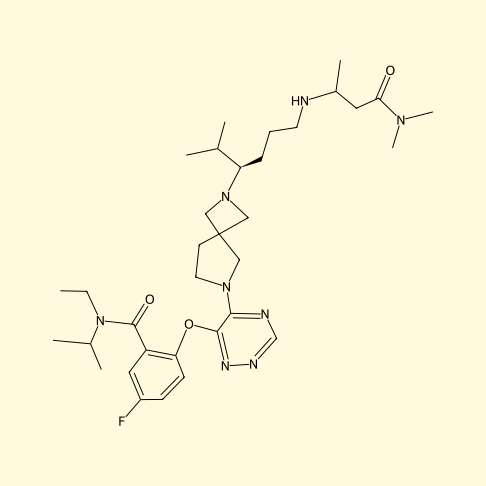 CCN(C(=O)c1cc(F)ccc1Oc1nncnc1N1CCC2(C1)CN([C@H](CCCNC(C)CC(=O)N(C)C)C(C)C)C2)C(C)C